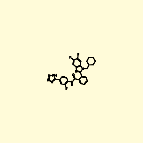 O=C(Nc1ccc(-c2nnn[nH]2)cc1F)c1ccccc1-c1nc2cc(F)c(F)cc2n1CC1CCCCC1